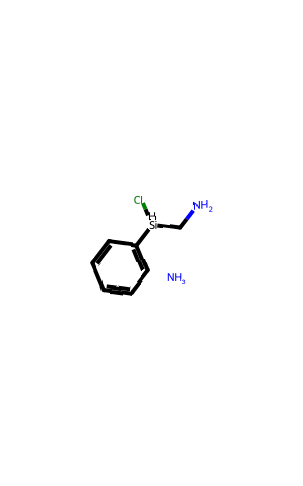 N.NC[SiH](Cl)c1ccccc1